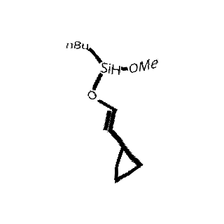 CCCC[SiH](OC)OC=CC1CC1